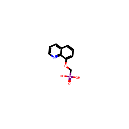 O=P(O)(O)COc1cccc2cccnc12